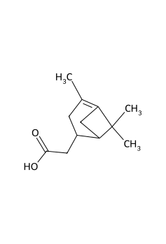 CC1=C2CC(C(CC(=O)O)C1)C2(C)C